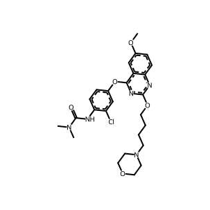 COc1ccc2nc(OCCCCN3CCOCC3)nc(Oc3ccc(NC(=O)N(C)C)c(Cl)c3)c2c1